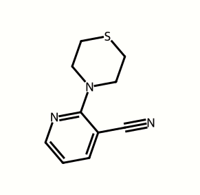 N#Cc1cccnc1N1CCSCC1